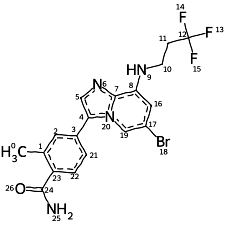 Cc1cc(-c2cnc3c(NCCC(F)(F)F)cc(Br)cn23)ccc1C(N)=O